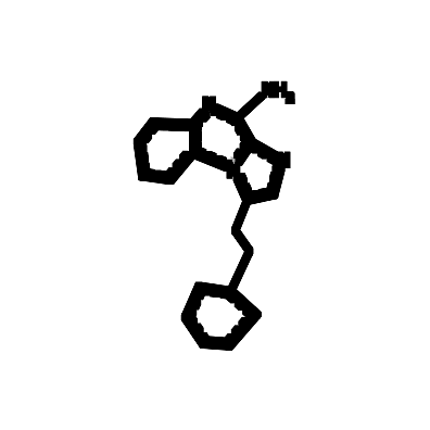 Nc1nc2ccccc2n2c(CCc3ccccc3)cnc12